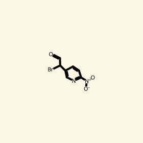 O=CC(Br)c1ccc([N+](=O)[O-])nc1